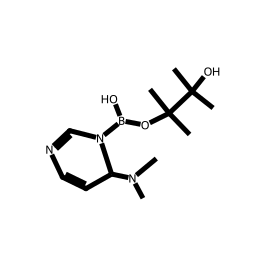 CN(C)C1C=CN=CN1B(O)OC(C)(C)C(C)(C)O